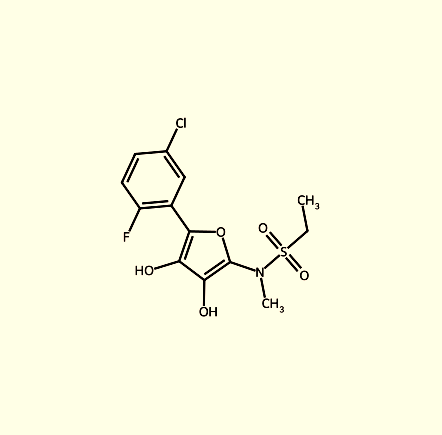 CCS(=O)(=O)N(C)c1oc(-c2cc(Cl)ccc2F)c(O)c1O